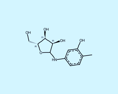 Cc1ccc(NC2O[C@H](CO)[C@@H](O)[C@H]2O)cc1O